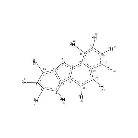 [2H]c1c([2H])c([2H])c2c(oc3c4c([2H])c([2H])c([2H])c([2H])c4c([2H])c([2H])c32)c1Br